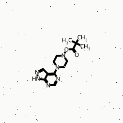 CC(C)(C)C(=O)ON1CCN(c2ncnc3[nH]ncc23)CC1